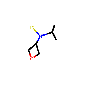 CC(C)N(S)C1COC1